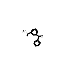 [CH2][C@H](C(C)=O)c1cccc(C(=O)c2ccccc2)c1